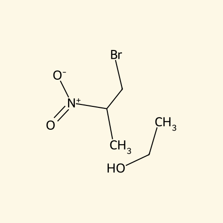 CC(CBr)[N+](=O)[O-].CCO